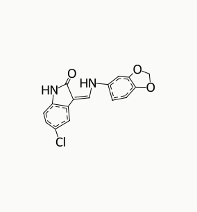 O=C1Nc2ccc(Cl)cc2C1=CNc1ccc2c(c1)OCO2